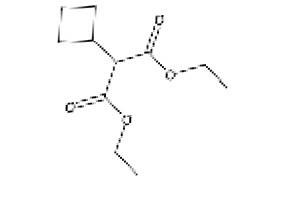 CCOC(=O)C(C(=O)OCC)C1CCC1